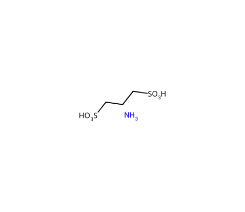 N.O=S(=O)(O)CCCS(=O)(=O)O